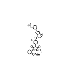 COc1ccccc1NC(=O)C(C(N)=O)c1ccc(Oc2ccnc3cc(-c4cccc(CN(C)C)c4)sc23)c(F)c1